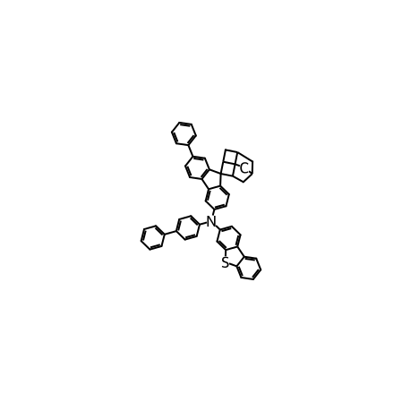 c1ccc(-c2ccc(N(c3ccc4c(c3)-c3ccc(-c5ccccc5)cc3C43C4CC5CC6CC3C64C5)c3ccc4c(c3)sc3ccccc34)cc2)cc1